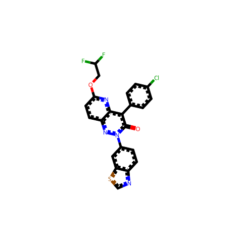 O=c1c(-c2ccc(Cl)cc2)c2nc(OCC(F)F)ccc2nn1-c1ccc2ncsc2c1